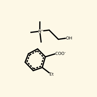 CCc1ccccc1C(=O)[O-].C[N+](C)(C)CCO